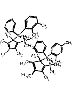 CC1=C(C)C(C)([Si](C)(c2ccccc2)c2ccc(C)cc2C)[C]([Ti]([CH3])([CH3])[CH3])=C1C.CC1=C(C)C(C)([Si](C)(c2ccccc2)c2cccc(C)c2C)[C]([Ti]([CH3])([CH3])[CH3])=C1C